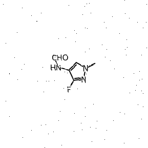 Cn1cc(NC=O)c(F)n1